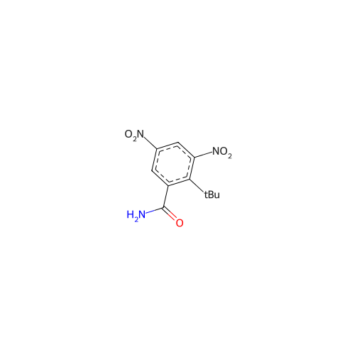 CC(C)(C)c1c(C(N)=O)cc([N+](=O)[O-])cc1[N+](=O)[O-]